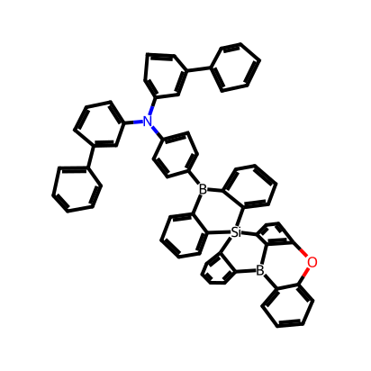 c1ccc(-c2cccc(N(c3ccc(B4c5ccccc5[Si]5(c6ccccc64)c4ccccc4B4c6ccccc6Oc6cccc5c64)cc3)c3cccc(-c4ccccc4)c3)c2)cc1